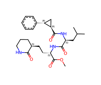 COC(=O)[C@H](CC[C@@H]1CCCNC1=O)NC(=O)[C@H](CC(C)C)NC(=O)[C@@H]1C[C@H]1c1ccccc1